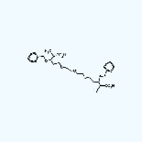 CC(C(=O)O)C(CCOCCOCCOCCC(SCc1ccccc1)C(C)C(=O)O)SCc1ccccc1